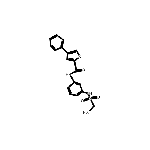 CCS(=O)(=O)Nc1cccc(NC(=O)c2cc(-c3ccccc3)cs2)c1